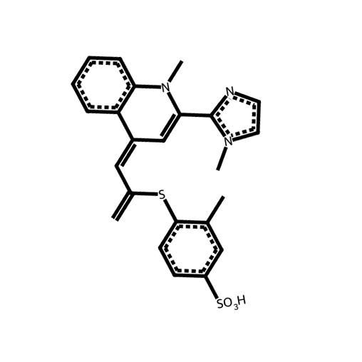 C=C(/C=C1\C=C(c2nccn2C)N(C)c2ccccc21)Sc1ccc(S(=O)(=O)O)cc1C